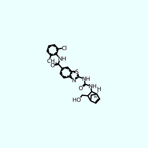 Cc1cccc(Cl)c1NC(=O)c1ccc2nc(NC(=O)NC3C(CO)C4C=C[C@H]3C4)sc2c1